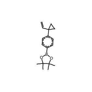 C=CC1(c2ccc(B3OC(C)(C)C(C)(C)O3)cc2)CC1